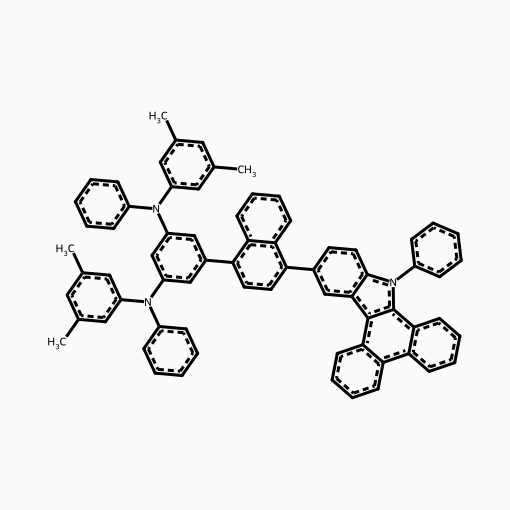 Cc1cc(C)cc(N(c2ccccc2)c2cc(-c3ccc(-c4ccc5c(c4)c4c6ccccc6c6ccccc6c4n5-c4ccccc4)c4ccccc34)cc(N(c3ccccc3)c3cc(C)cc(C)c3)c2)c1